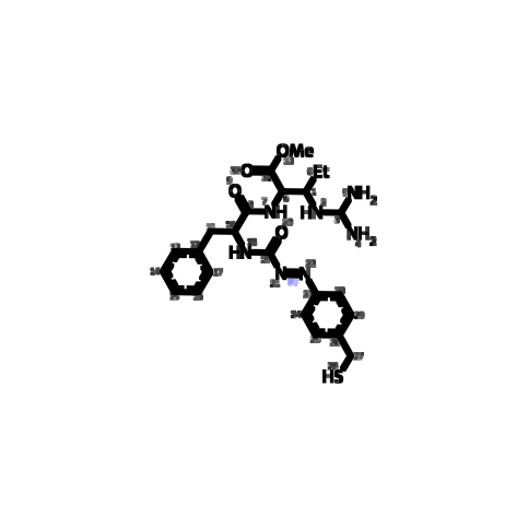 CCC(NC(N)N)C(NC(=O)C(Cc1ccccc1)NC(=O)/N=N/c1ccc(CS)cc1)C(=O)OC